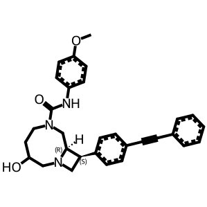 COc1ccc(NC(=O)N2CCC(O)CN3C[C@H](c4ccc(C#Cc5ccccc5)cc4)[C@@H]3C2)cc1